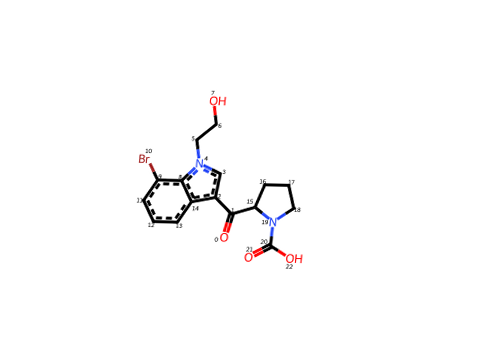 O=C(c1cn(CCO)c2c(Br)cccc12)C1CCCN1C(=O)O